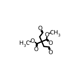 COC(=O)C(CC=O)(CC=O)C(=O)OC